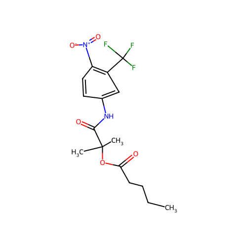 CCCCC(=O)OC(C)(C)C(=O)Nc1ccc([N+](=O)[O-])c(C(F)(F)F)c1